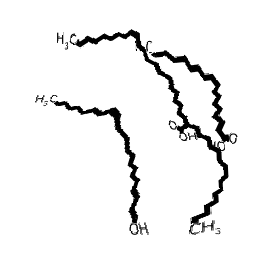 CCCCCCCC/C=C\CCCCCCCC(=O)O.CCCCCCCC/C=C\CCCCCCCCCCCCC(CCCCCC/C=C\CCCCCCCC)C(=O)O.CCCCCCCC/C=C\CCCCCCCCCCCCO